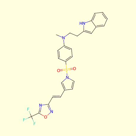 CN(CCc1cc2ccccc2[nH]1)c1ccc(S(=O)(=O)n2ccc(C=Cc3noc(C(F)(F)F)n3)c2)cc1